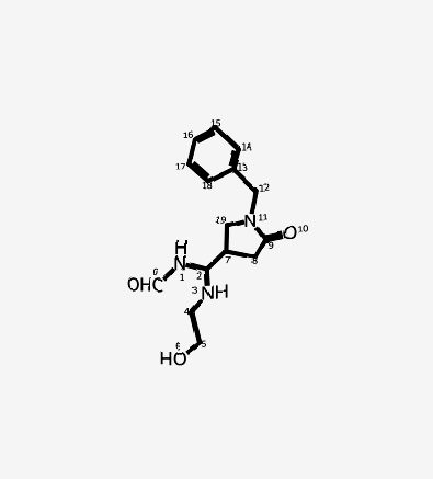 O=CNC(NCCO)C1CC(=O)N(Cc2ccccc2)C1